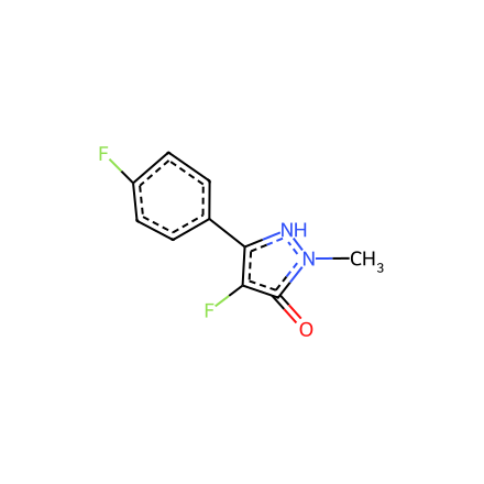 Cn1[nH]c(-c2ccc(F)cc2)c(F)c1=O